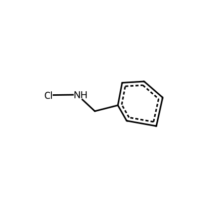 ClNCc1ccccc1